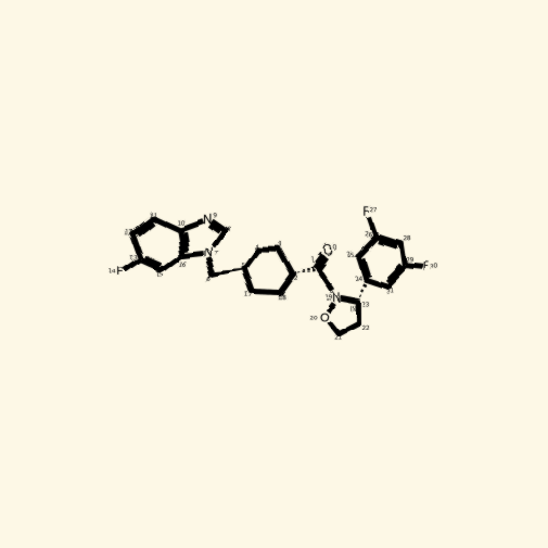 O=C([C@H]1CC[C@H](Cn2cnc3ccc(F)cc32)CC1)N1OCC[C@H]1c1cc(F)cc(F)c1